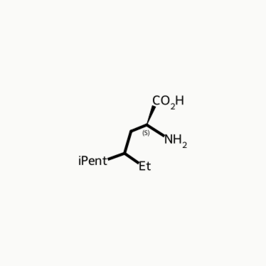 CCCC(C)C(CC)C[C@H](N)C(=O)O